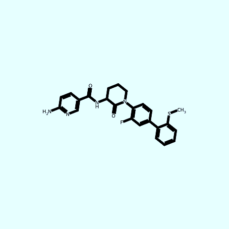 CSc1ccccc1-c1ccc(N2CCCC(NC(=O)c3ccc(N)nc3)C2=O)c(F)c1